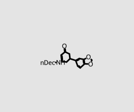 CCCCCCCCCCNC1=CC(=O)CC(c2ccc3c(c2)OCO3)C1